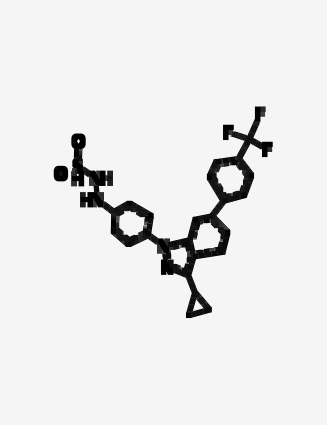 O=[SH](=O)NNc1ccc(-n2nc(C3CC3)c3ccc(-c4ccc(C(F)(F)F)cc4)cc32)cc1